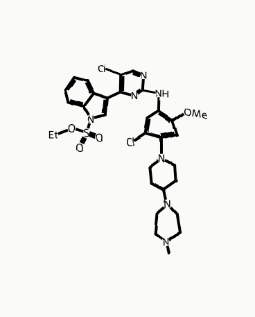 CCOS(=O)(=O)n1cc(-c2nc(Nc3cc(Cl)c(N4CCC(N5CCN(C)CC5)CC4)cc3OC)ncc2Cl)c2ccccc21